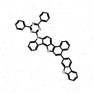 c1ccc(-c2nc(-c3ccccc3)nc(-n3c4ccccc4c4c5oc6cc(-c7ccc8c(c7)oc7ccccc78)c7ccccc7c6c5ccc43)n2)cc1